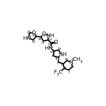 CN1CCC(C(F)(F)F)C(CN2CC(NC(=O)C3CC(C4CNCO4)ON3)CN2)C1